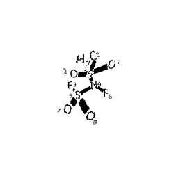 CS(=O)(=O)N(F)S(=O)(=O)F